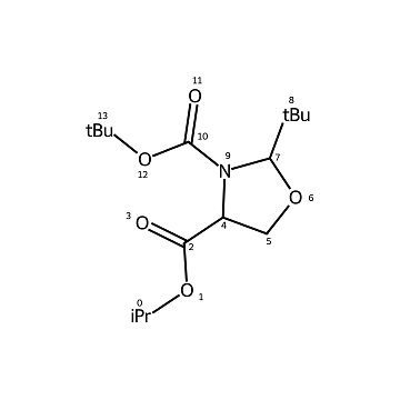 CC(C)OC(=O)C1COC(C(C)(C)C)N1C(=O)OC(C)(C)C